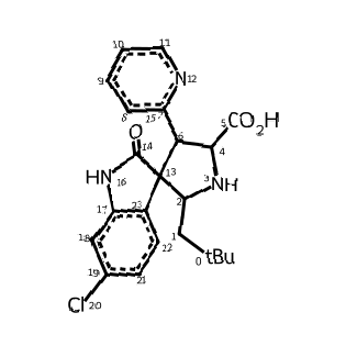 CC(C)(C)CC1NC(C(=O)O)C(c2ccccn2)C12C(=O)Nc1cc(Cl)ccc12